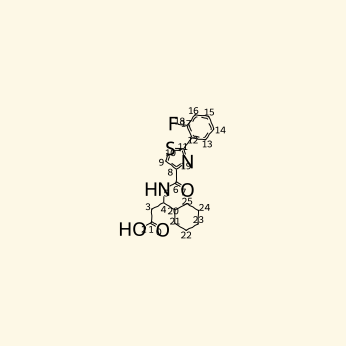 O=C(O)CC(NC(=O)c1csc(-c2ccccc2F)n1)C1CCCCC1